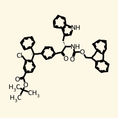 CC(C)(C)OC(=O)c1ccc([C](c2ccccc2)c2ccc(C(=O)[C@H](Cc3c[nH]c4ccccc34)NC(=O)OCC3c4ccccc4-c4ccccc43)cc2)c(Cl)c1